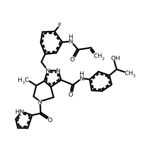 C=CC(=O)Nc1cc(Cn2nc(C(=O)Nc3cccc(C(C)O)c3)c3c2C(C)CN(C(=O)c2ccc[nH]2)C3)ccc1F